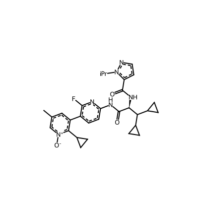 Cc1cc(-c2ccc(NC(=O)[C@@H](NC(=O)c3ccnn3C(C)C)C(C3CC3)C3CC3)nc2F)c(C2CC2)[n+]([O-])c1